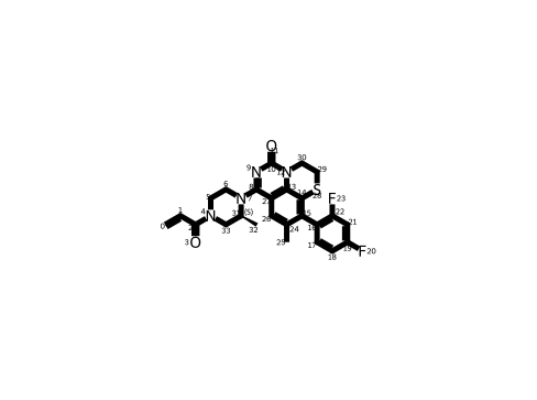 C=CC(=O)N1CCN(c2nc(=O)n3c4c(c(-c5ccc(F)cc5F)c(C)cc24)SCC3)[C@@H](C)C1